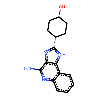 Nc1nc2ccccc2c2[nH]c([C@H]3CC[C@@H](O)CC3)nc12